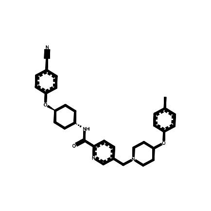 Cc1ccc(OC2CCN(Cc3ccc(C(=O)N[C@H]4CC[C@H](Oc5ccc(C#N)cc5)CC4)nc3)CC2)cc1